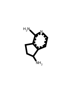 Nc1nccc2c1CCC2N